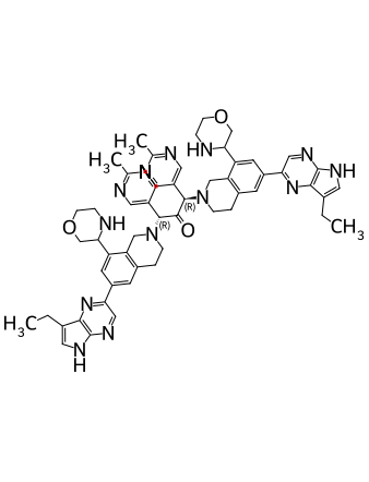 CCc1c[nH]c2ncc(-c3cc4c(c(C5COCCN5)c3)CN([C@@H](C(=O)[C@@H](c3cnc(C)nc3)N3CCc5cc(-c6cnc7[nH]cc(CC)c7n6)cc(C6COCCN6)c5C3)c3cnc(C)nc3)CC4)nc12